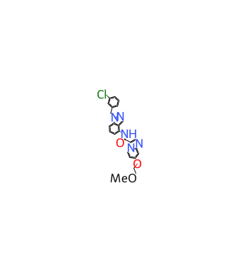 COCCOc1ccn2c(C(=O)Nc3cccc4c3cnn4Cc3cccc(Cl)c3)cnc2c1